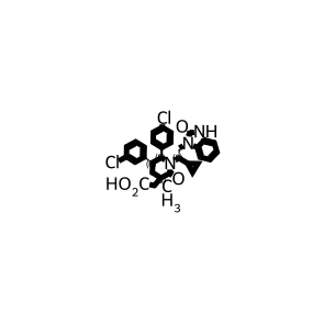 C[C@@]1(CC(=O)O)C[C@H](c2cccc(Cl)c2)[C@@H](c2ccc(Cl)cc2)N([C@H](Cn2c(=O)[nH]c3ccccc32)C2CC2)C1=O